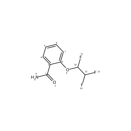 NC(=O)c1ccccc1OC(F)C(F)F